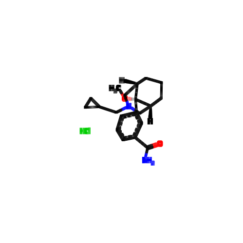 CO[C@@]1(c2cccc(C(N)=O)c2)[C@@H]2CCC[C@H]1CN(CC1CC1)C2.Cl